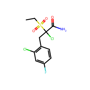 CCS(=O)(=O)C(Cl)(Cc1c[c]c(F)cc1Cl)C(N)=O